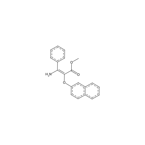 COC(=O)C(Oc1ccc2ccccc2c1)=C(N)c1ccccc1